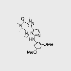 COc1cc(Nc2nccc(-c3cc(C(=O)N(C)[C@@H](C)CN4CCC4)n(C)n3)n2)cc(OC)c1